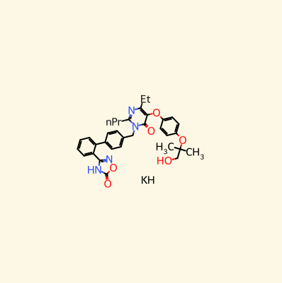 CCCc1nc(CC)c(Oc2ccc(OC(C)(C)CO)cc2)c(=O)n1Cc1ccc(-c2ccccc2-c2noc(=O)[nH]2)cc1.[KH]